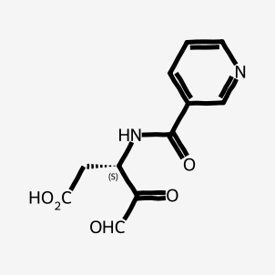 O=CC(=O)[C@H](CC(=O)O)NC(=O)c1cccnc1